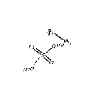 CCCN.COS(=O)(=O)OC